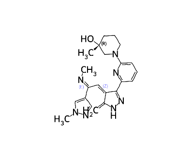 C=c1[nH]nc(-c2cccc(N3CCC[C@@](C)(O)C3)n2)/c1=C/C(=N\C)c1cnn(C)c1